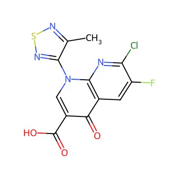 Cc1nsnc1-n1cc(C(=O)O)c(=O)c2cc(F)c(Cl)nc21